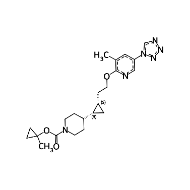 Cc1cc(-n2cnnn2)cnc1OCC[C@@H]1C[C@@H]1C1CCN(C(=O)OC2(C)CC2)CC1